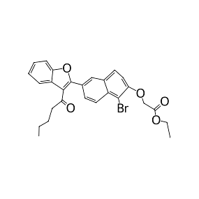 CCCCC(=O)c1c(-c2ccc3c(Br)c(OCC(=O)OCC)ccc3c2)oc2ccccc12